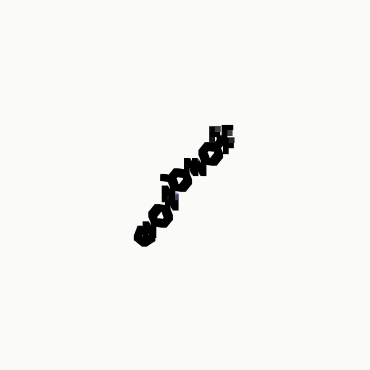 Cc1cc(/N=N/c2ccc(C(F)(F)F)cc2)ccc1/N=N/c1ccc(N2CCCC2)cc1